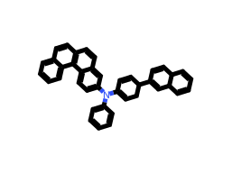 C1=CC2C=CC(C3C=CC(N(c4ccccc4)c4ccc5c(ccc6ccc7ccccc7c65)c4)=CC3)=CC2C=C1